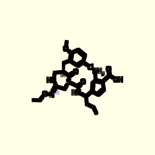 CCCC(NC(=O)N1C/C(=N/OCC)NC[C@@H](Cc2cc(Cl)ccc2OC)C1=O)c1ccc(C(=O)O)c(N)c1